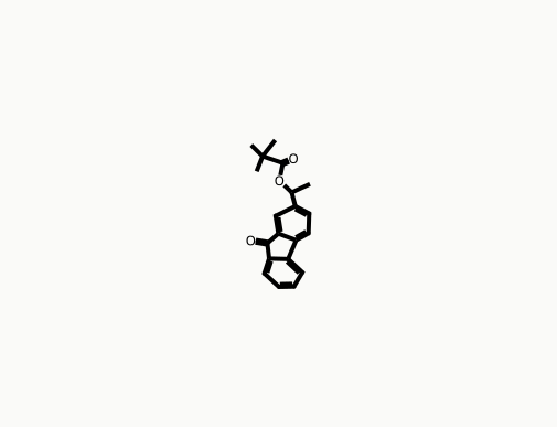 CC(OC(=O)C(C)(C)C)c1ccc2c(c1)C(=O)c1ccccc1-2